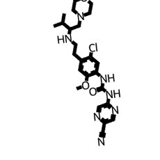 COc1cc(CCNC(CN2CCOCC2)C(C)C)c(Cl)cc1NC(=O)Nc1cnc(C#N)cn1